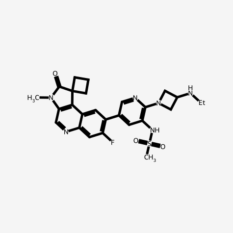 CCNC1CN(c2ncc(-c3cc4c5c(cnc4cc3F)N(C)C(=O)C53CCC3)cc2NS(C)(=O)=O)C1